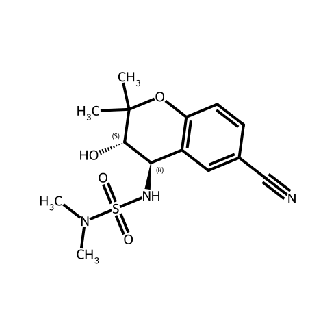 CN(C)S(=O)(=O)N[C@@H]1c2cc(C#N)ccc2OC(C)(C)[C@H]1O